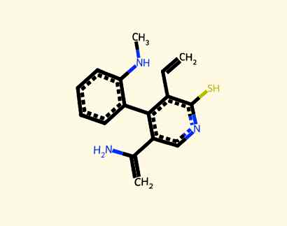 C=Cc1c(S)ncc(C(=C)N)c1-c1ccccc1NC